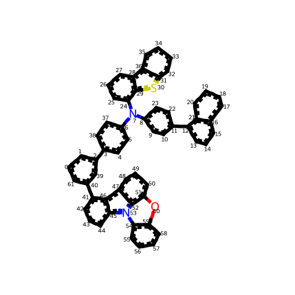 c1cc(-c2ccc(N(c3ccc(-c4cccc5ccccc45)cc3)c3cccc4c3sc3ccccc34)cc2)cc(-c2cccc3c2c2cccc4c2n3-c2ccccc2O4)c1